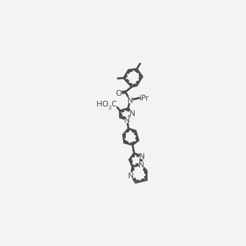 Cc1ccc(C(=O)N(c2nn(-c3ccc(-c4cc5ncccn5n4)cc3)cc2C(=O)O)C(C)C)c(C)c1